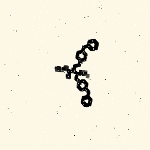 CC(C)(C)OC(=O)N(CCN1CCC(Cc2ccccc2)CC1)C(N)CN1CCC(Cc2ccccc2)CC1